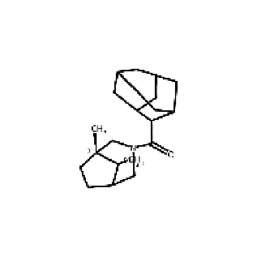 CC1(C)C2CC[C@]1(C)CN(C(=O)C1C3CC4CC(C3)CC1C4)C2